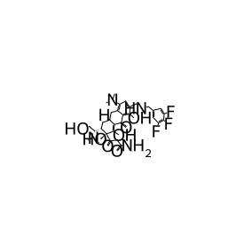 CN(C)c1cc(CNCc2cc(F)c(F)c(F)c2)c(O)c2c1C[C@H]1C[C@@H](C(CO)N(C)C)[C@@](O)(C(=O)CC(N)=O)C(O)=C1C2=O